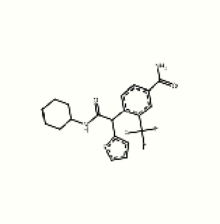 NC(=O)c1ccc(C(C(=O)NC2CCCCC2)c2cccs2)c(C(F)(F)F)c1